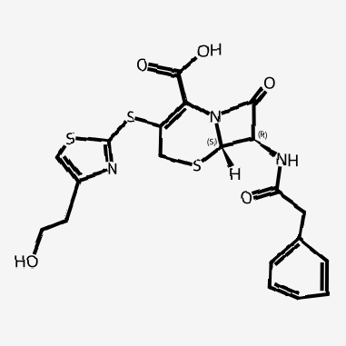 O=C(Cc1ccccc1)N[C@@H]1C(=O)N2C(C(=O)O)=C(Sc3nc(CCO)cs3)CS[C@@H]12